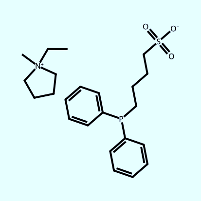 CC[N+]1(C)CCCC1.O=S(=O)([O-])CCCCP(c1ccccc1)c1ccccc1